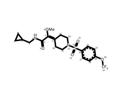 COC(C(=O)NCC1CC1)=C1CCN(S(=O)(=O)c2ccc(OC(F)(F)F)cc2)CC1